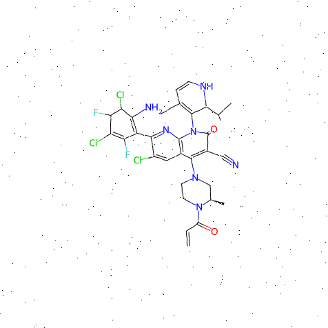 C=CC(=O)N1CCN(c2c(C#N)c(=O)n(C3=C(C)C=CNC3C(C)C)c3nc(C4=C(N)C(Cl)C(F)C(Cl)=C4F)c(Cl)cc23)C[C@H]1C